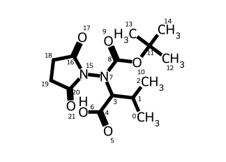 CC(C)C(C(=O)O)N(C(=O)OC(C)(C)C)N1C(=O)CCC1=O